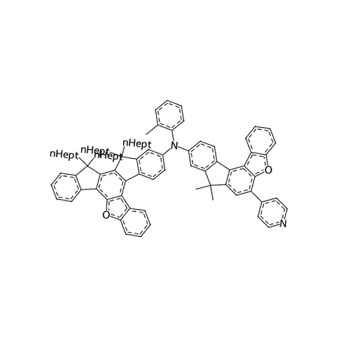 CCCCCCCC1(CCCCCCC)c2ccccc2-c2c1c1c(c3c2oc2ccccc23)-c2ccc(N(c3ccc4c(c3)C(C)(C)c3cc(-c5ccncc5)c5oc6ccccc6c5c3-4)c3ccccc3C)cc2C1(CCCCCCC)CCCCCCC